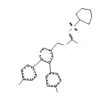 N/C(=N\S(=O)(=O)C1CCCCC1)NCc1cnc(-c2ccc(Cl)cc2)c(-c2ccc(Cl)cc2)c1